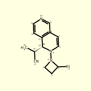 CCC1CCN1N1C=Cc2cnccc2[C@H]1C(C)C#N